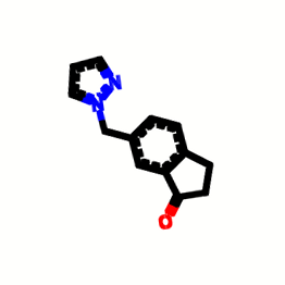 O=C1CCc2ccc(Cn3cccn3)cc21